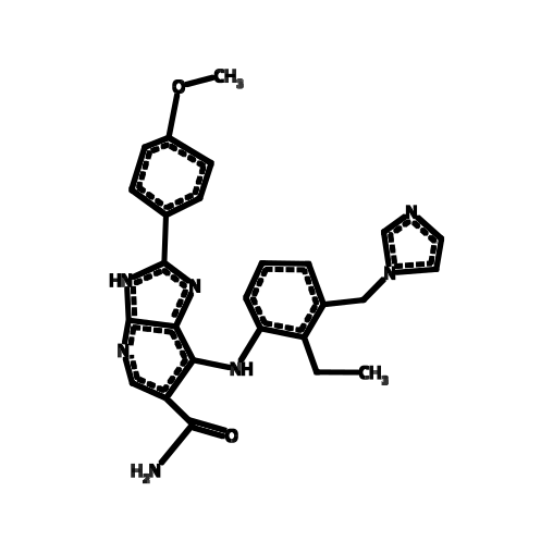 CCc1c(Cn2ccnc2)cccc1Nc1c(C(N)=O)cnc2[nH]c(-c3ccc(OC)cc3)nc12